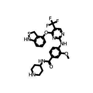 COc1cc(C(=O)NC2CCNCC2)ccc1Nc1ncc(C(F)(F)F)c(Oc2cccc3c2CSN3)n1